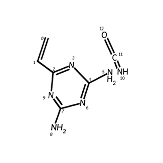 C=Cc1nc(N)nc(N)n1.N=C=O